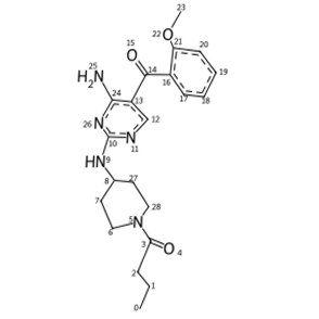 CCCC(=O)N1CCC(Nc2ncc(C(=O)c3ccccc3OC)c(N)n2)CC1